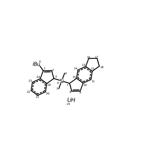 CCC(C)C1=CC([Si](C)(C)C2C=Cc3cc4c(cc32)CCC4)c2ccccc21.[LiH]